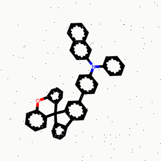 c1ccc(N(c2ccc(-c3ccc4c(c3)C3(c5ccccc5Oc5ccccc53)c3ccccc3-4)cc2)c2ccc3ccccc3c2)cc1